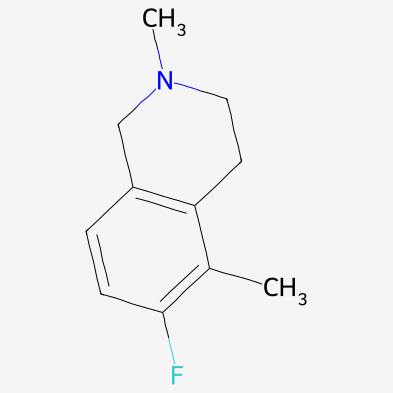 Cc1c(F)ccc2c1CCN(C)C2